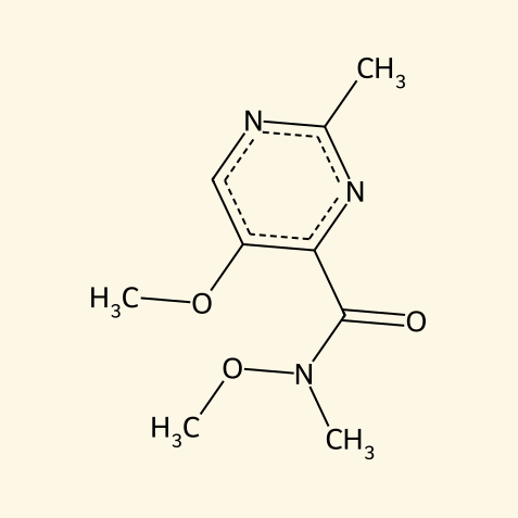 COc1cnc(C)nc1C(=O)N(C)OC